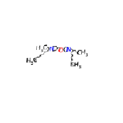 CCCCCCCC(CC)N1CCC(COC2CCN(CC(CCC)CCCCCC)CC2)CC1